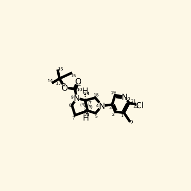 Cc1cc(N2C[C@H]3CCN(C(=O)OC(C)(C)C)[C@H]3C2)cnc1Cl